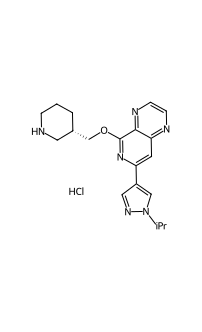 CC(C)n1cc(-c2cc3nccnc3c(OC[C@H]3CCCNC3)n2)cn1.Cl